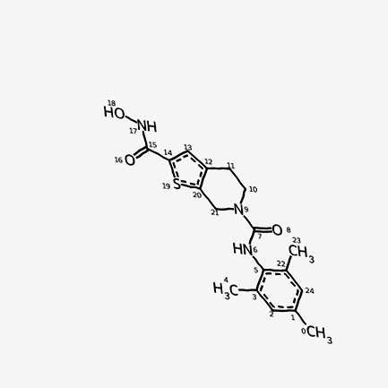 Cc1cc(C)c(NC(=O)N2CCc3cc(C(=O)NO)sc3C2)c(C)c1